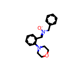 [O-][N+](=Cc1ccccc1N1CCOCC1)Cc1ccccc1